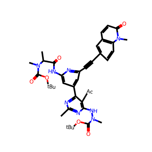 CC(=O)c1c(NN(C)C(=O)OC(C)(C)C)nc(C)nc1-c1cc(C#Cc2ccc3c(ccc(=O)n3C)c2)nc(NC(=O)C(C)N(C)C(=O)OC(C)(C)C)c1